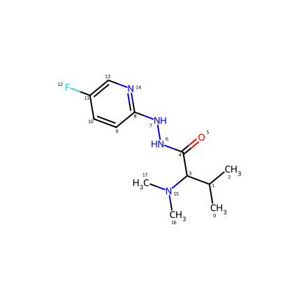 CC(C)C(C(=O)NNc1ccc(F)cn1)N(C)C